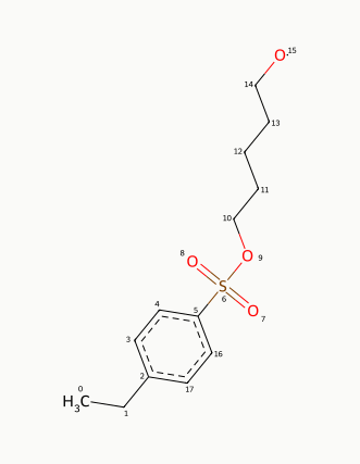 CCc1ccc(S(=O)(=O)OCCCCC[O])cc1